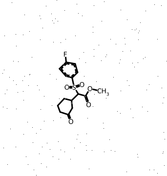 COC(=O)C(C1CCCC(=O)C1)S(=O)(=O)c1ccc(F)cc1